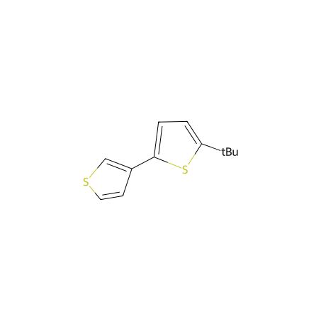 CC(C)(C)c1ccc(-c2ccsc2)s1